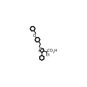 CCC(C(=O)O)c1cn(CCc2ccc(OCc3ccccc3)cc2)nc1-c1ccccc1